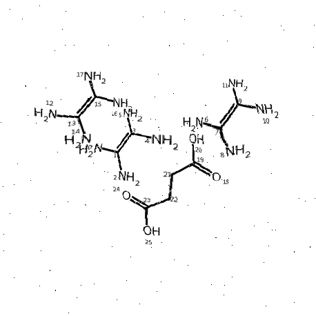 NC(N)=C(N)N.NC(N)=C(N)N.NC(N)=C(N)N.O=C(O)CCC(=O)O